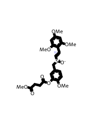 COC(=O)CCC(=O)Oc1cc(C[S+]([O-])/C=C/c2c(OC)cc(OC)cc2OC)ccc1OC